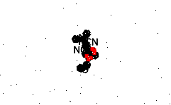 N#Cc1cc(N2c3ccccc3C3(c4ccccc4-c4cc(-c5ccc6oc7ccccc7c6c5)ccc43)c3ccccc32)c(C#N)cc1-c1nc(-c2ccccc2)nc(-c2ccccc2)n1